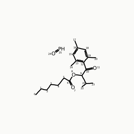 CCCCCCC(=O)OC(C(=O)c1c(C)cc(C)cc1C)C(C)C.O=P